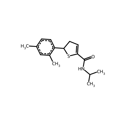 Cc1ccc(C2CC=C(C(=O)NC(C)C)S2)c(C)c1